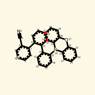 N#Cc1cnccc1-c1ccccc1-c1ccccc1N1c2ccccc2Oc2ccccc21